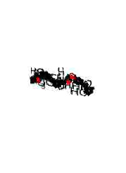 Cc1ccc(O)c(NC(=O)c2ccc(Oc3ccc(C(=O)Nc4cc(C(c5ccc(O)c(N6C(=O)C7C8C=CC(C8)C7C6=O)c5)(C(F)(F)F)C(F)(F)F)ccc4O)cc3)cc2)c1